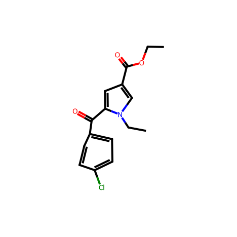 CCOC(=O)c1cc(C(=O)c2ccc(Cl)cc2)n(CC)c1